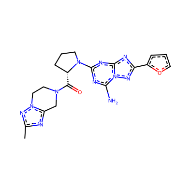 Cc1nc2n(n1)CCN(C(=O)[C@@H]1CCCN1c1nc(N)n3nc(-c4ccco4)nc3n1)C2